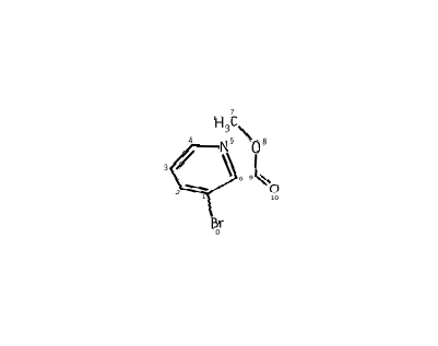 Brc1cccnc1.COC=O